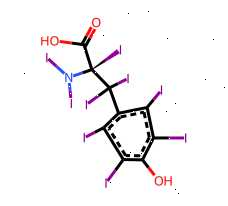 O=C(O)[C@@](I)(N(I)I)C(I)(I)c1c(I)c(I)c(O)c(I)c1I